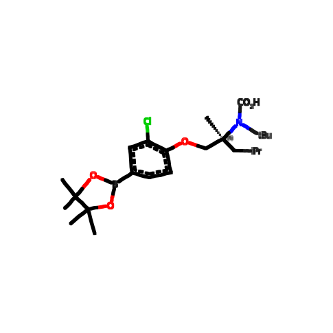 CC(C)C[C@@](C)(COc1ccc(B2OC(C)(C)C(C)(C)O2)cc1Cl)N(C(=O)O)C(C)(C)C